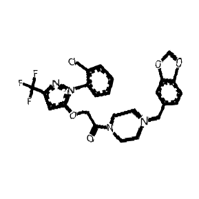 O=C(COc1cc(C(F)(F)F)nn1-c1ccccc1Cl)N1CCN(Cc2ccc3c(c2)OCO3)CC1